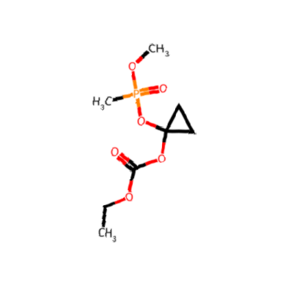 CCOC(=O)OC1(OP(C)(=O)OC)CC1